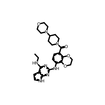 CCNc1nc(Nc2ccc(C(=O)N3CCC(N4CCOCC4)CC3)c3c2OCCO3)nc2[nH]ccc12